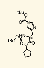 CC(C)(C)OC(=O)N[C@@H](Cc1cn(C(=O)OC(C)(C)C)cn1)C(=O)OC1CCCC1